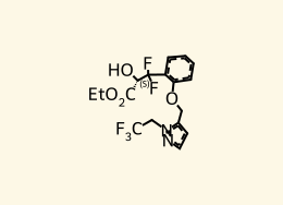 CCOC(=O)[C@H](O)C(F)(F)c1ccccc1OCc1ccnn1CC(F)(F)F